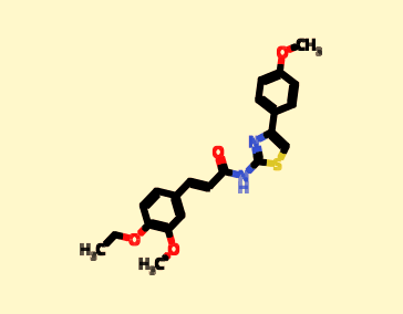 CCOc1ccc(C=CC(=O)Nc2nc(-c3ccc(OC)cc3)cs2)cc1OC